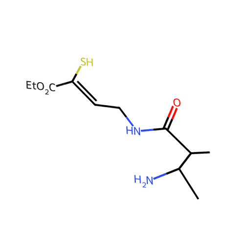 CCOC(=O)C(S)=CCNC(=O)C(C)C(C)N